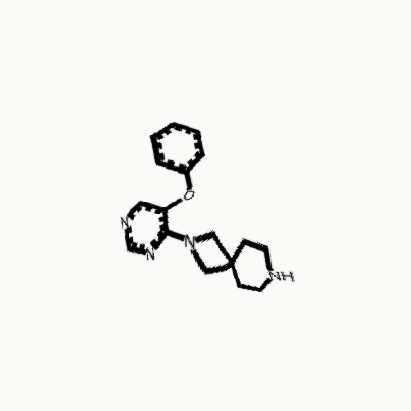 c1ccc(Oc2cncnc2N2CC3(CCNCC3)C2)cc1